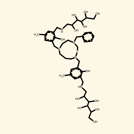 Cc1cc(CNCC(O)C(O)C(O)C(O)CO)c(O)c(CN2CCCN(Cc3cc(C)cc(CNCC(O)C(O)C(O)C(O)CO)c3O)CCN(Cc3ccccc3)CC2)c1